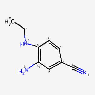 CCNc1ccc(C#N)cc1N